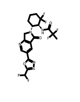 CC(F)(F)C(=O)N[C@H]1[C@H](N2Cc3ncc(-c4nnc(C(F)F)o4)cc3C2=O)CCCC1(F)F